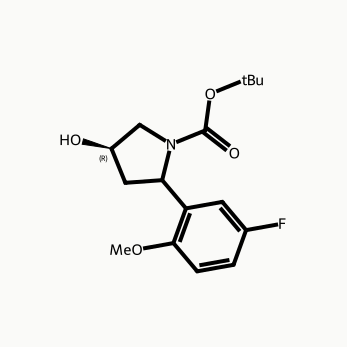 COc1ccc(F)cc1C1C[C@@H](O)CN1C(=O)OC(C)(C)C